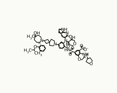 CC(C)Oc1ccccc1[C@@H]1CC[C@@](C)(O)CCN1C1CC2(CCN(c3ccc(C(=O)NS(=O)(=O)c4cc5c(c([N+](=O)[O-])c4)N[C@H](C4(F)CCOCC4)CO5)c(N4c5cc6cc[nH]c6nc5O[C@H]5COCC[C@@H]54)c3)CC2)C1